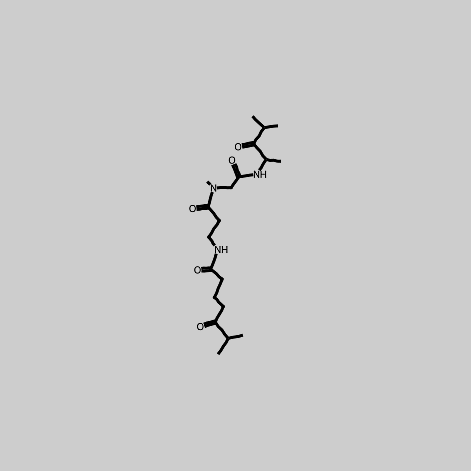 CC(C)C(=O)CCCC(=O)NCCC(=O)N(C)CC(=O)NC(C)C(=O)C(C)C